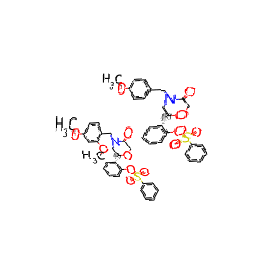 COc1ccc(CN2C[C@@H](c3ccccc3OS(=O)(=O)c3ccccc3)OCC2=O)c(OC)c1.COc1ccc(CN2C[C@@H](c3ccccc3OS(=O)(=O)c3ccccc3)OCC2=O)cc1